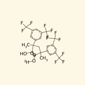 [2H]OC(=O)C(C)(CC(C)(C(=O)O)c1cc(C(F)(F)F)cc(C(F)(F)F)c1)c1cc(C(F)(F)F)cc(C(F)(F)F)c1